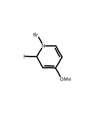 COC1=CC(I)N(Br)C=C1